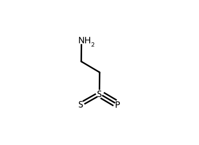 NCCS(#P)=S